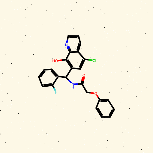 O=C(COc1ccccc1)NC(c1ccccc1F)c1cc(Cl)c2cccnc2c1O